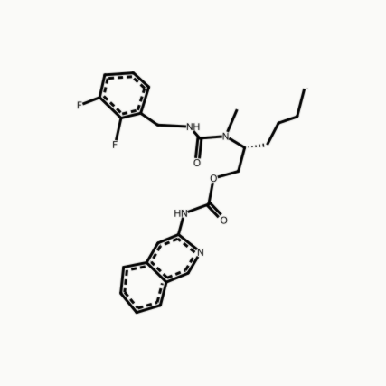 [CH2]CCC[C@H](COC(=O)Nc1cc2ccccc2cn1)N(C)C(=O)NCc1cccc(F)c1F